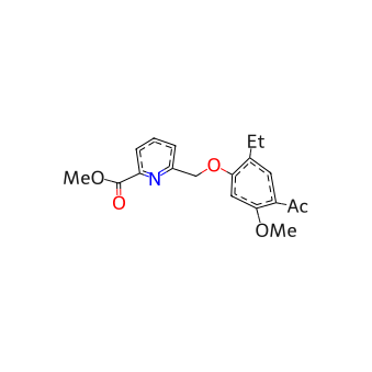 CCc1cc(C(C)=O)c(OC)cc1OCc1cccc(C(=O)OC)n1